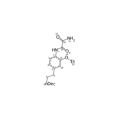 CCCCCCCCCCCCc1ccc(NC(=O)C(N)=O)c(OCC)c1